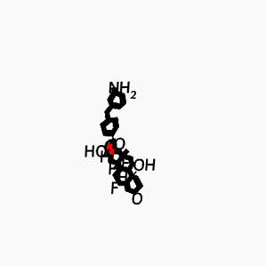 CC12C[C@H](O)[C@@]3(F)[C@@H](C[C@H](F)C4=CC(=O)C=C[C@@]43C)[C@@H]1C[C@H]1O[C@H](c3ccc(Cc4cccc(N)c4)cc3)O[C@]12C(=O)CO